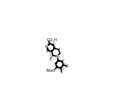 COc1cc(N2CCc3cc(C(=O)O)ncc3[C@@H]2C)cc(F)c1F